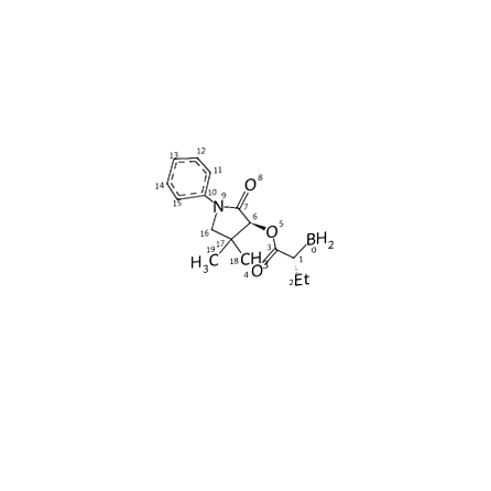 B[C@H](CC)C(=O)O[C@@H]1C(=O)N(c2ccccc2)CC1(C)C